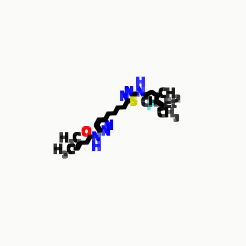 C=C(CC(=C)/C(F)=C(/C)CC)Nc1nnc(CCCCc2ccc(NC(=O)C/C(C)=C/C)nn2)s1